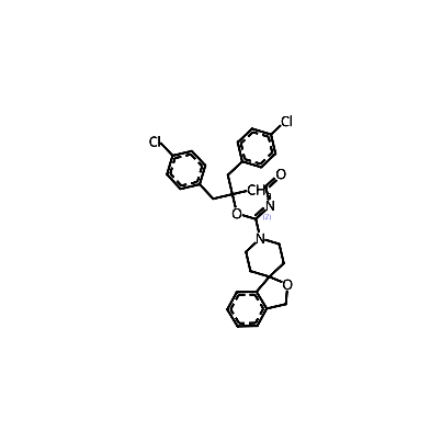 CC(Cc1ccc(Cl)cc1)(Cc1ccc(Cl)cc1)O/C(=N\C=O)N1CCC2(CC1)OCc1ccccc12